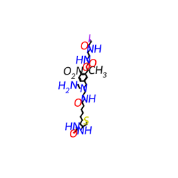 CC(OC(=O)NCCNC(=O)CI)c1cc(CN(CCN)CCNC(=O)CCCCC2SCC3NC(=O)NC32)ccc1[N+](=O)[O-]